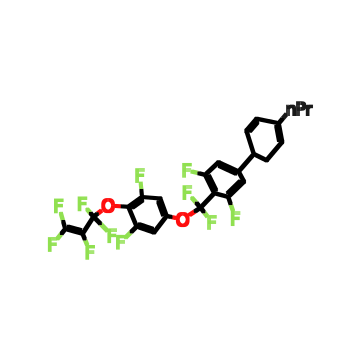 CCCC1=CCC(c2cc(F)c(C(F)(F)Oc3cc(F)c(OC(F)(F)C(F)=C(F)F)c(F)c3)c(F)c2)C=C1